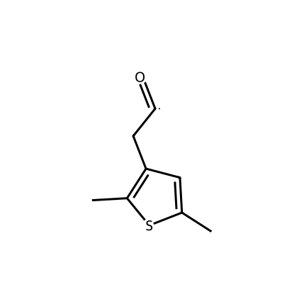 Cc1cc(C[C]=O)c(C)s1